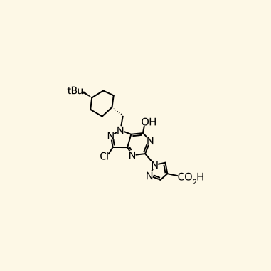 CC(C)(C)[C@H]1CC[C@H](Cn2nc(Cl)c3nc(-n4cc(C(=O)O)cn4)nc(O)c32)CC1